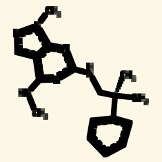 CNc1nc(NC[C@@](C)(N)c2ccccc2)nc2c1cnn2C